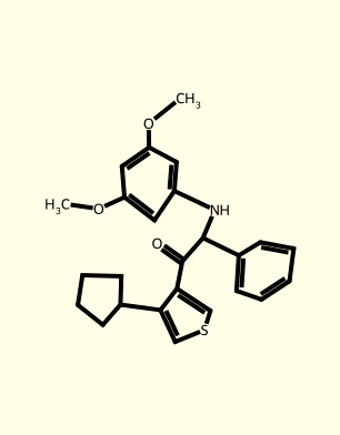 COc1cc(NC(C(=O)c2cscc2C2CCCC2)c2ccccc2)cc(OC)c1